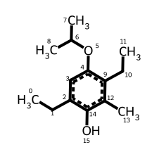 CCc1cc(OC(C)C)c(CC)c(C)c1O